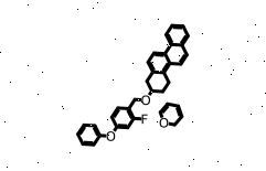 C1=CCOC=C1.Fc1cc(Oc2ccccc2)ccc1COC1CCc2c(ccc3c2ccc2ccccc23)C1